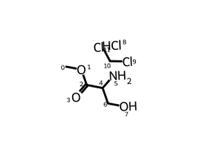 COC(=O)C(N)CO.Cl.ClCCl